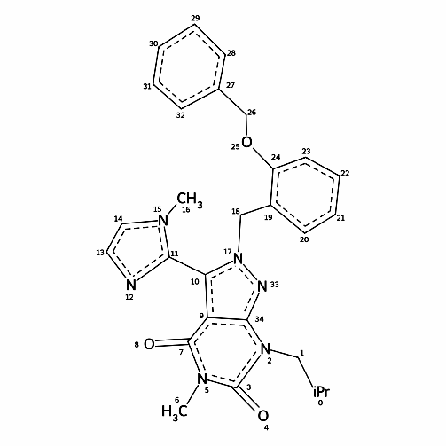 CC(C)Cn1c(=O)n(C)c(=O)c2c(-c3nccn3C)n(Cc3ccccc3OCc3ccccc3)nc21